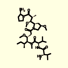 B[C@@H]1CCCN1C(=O)[C@H](C)[C@@H](OC)[C@@H]1C[C@@H](OC)CN1C(=O)C[C@@H](OC)[C@H]([C@@H](C)CC)N(C)C(=O)[C@@H](NC(=O)[C@@H](NC)C(C)C)C(C)C